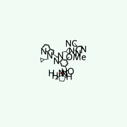 COc1cc(C(=O)N2C[C@H]3CC[C@@H]2[C@@H]3N)cc2nc(-c3cc4cccnc4n3CC3CC3)n(CC3CN(c4ncncc4C#N)C3)c12